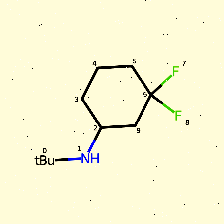 CC(C)(C)NC1CCCC(F)(F)C1